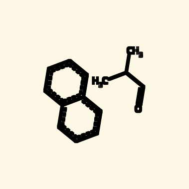 CC(C)C=O.c1ccc2ccccc2c1